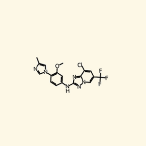 COc1cc(Nc2nc3c(Cl)cc(C(F)(F)F)cn3n2)ccc1-n1cnc(C)c1